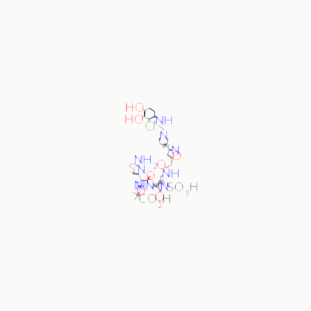 CC(C)(O/N=C(\C(=O)N[C@@H]1C(=O)N(S(=O)(=O)O)[C@@H]1CNC(=O)Cc1cc([C@@H]2CCN(CCNc3ccc(O)c(O)c3Cl)C2)no1)c1csc(N)n1)C(=O)O